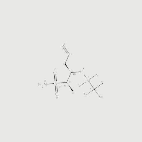 C=CC[C@@H](O[Si](C)(C)C(C)(C)C)[C@@H](C)S(N)(=O)=O